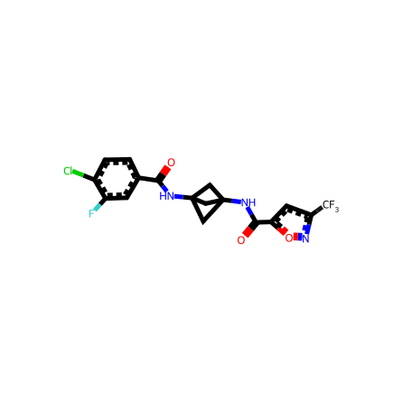 O=C(NC12CC(NC(=O)c3cc(C(F)(F)F)no3)(C1)C2)c1ccc(Cl)c(F)c1